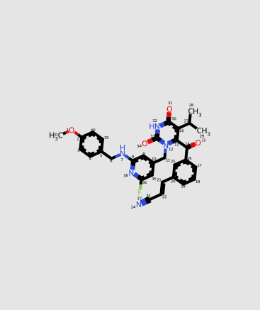 COc1ccc(CNc2cc(Cn3c(C(=O)c4cccc(/C=C/C#N)c4)c(C(C)C)c(=O)[nH]c3=O)cc(F)n2)cc1